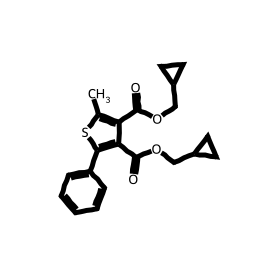 Cc1sc(-c2ccccc2)c(C(=O)OCC2CC2)c1C(=O)OCC1CC1